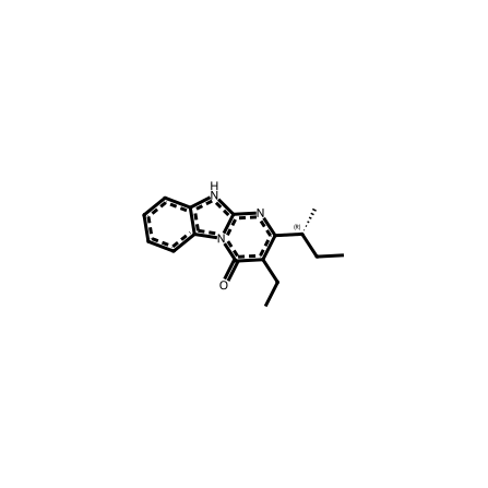 CCc1c([C@H](C)CC)nc2[nH]c3ccccc3n2c1=O